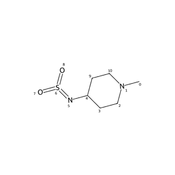 CN1CCC(N=S(=O)=O)CC1